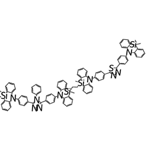 C[Si]1(C)c2ccccc2N(c2ccc(-c3nnc(-c4ccc(N5c6ccccc6[Si](C)(CC[Si]6(C)c7ccccc7N(c7ccc(-c8nnc(-c9ccc(N%10c%11ccccc%11[Si](C)(C)c%11ccccc%11%10)cc9)n8-c8ccccc8)cc7)c7ccccc76)c6ccccc65)cc4)s3)cc2)c2ccccc21